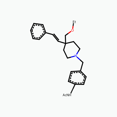 CCOCC1(/C=C/c2ccccc2)CCN(Cc2ccc(NC(C)=O)cc2)CC1